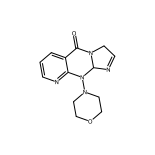 O=C1c2cccnc2N(N2CCOCC2)C2N=CCN12